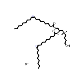 CCCCCCCC/C=C\CCCCCCCC(=O)OCC(C[N+](C)(C)CCCCO)OC(=O)CCCCCCC/C=C\CCCCCCCC.[Br-]